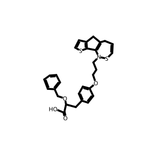 O=C(O)C(Cc1ccc(OCCCN2SC=CCC3=C2c2sccc2C3)cc1)OCc1ccccc1